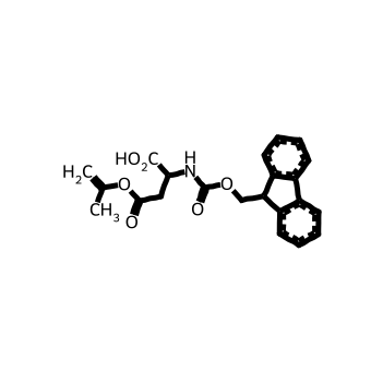 C=C(C)OC(=O)CC(NC(=O)OCC1c2ccccc2-c2ccccc21)C(=O)O